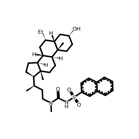 CC[C@H]1C[C@@H]2[C@H](CC[C@]3(C)[C@@H]([C@H](C)CCN(C)C(=O)NS(=O)(=O)c4ccc5ccccc5c4)CC[C@@H]23)[C@@]2(C)CC[C@@H](O)C[C@@H]12